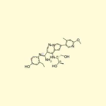 CCc1cc(O)ccc1/N=C(\N)c1cnn2cc(-c3cnc(OC)cc3C)cc2c1N[C@H](CO)[C@@H](C)O